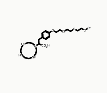 CCOCCOCCOCCOc1ccc(CC(C(=O)O)N2CCNCCNCCNCC2)cc1